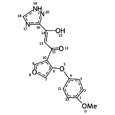 COc1ccc(Oc2cocc2C(=O)C=C(O)c2nc[nH]n2)cc1